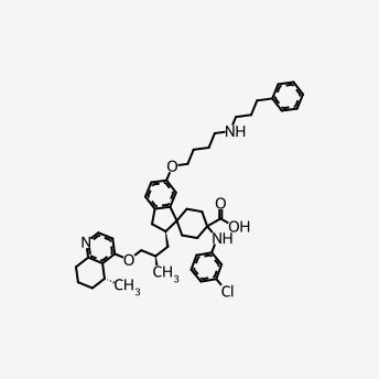 C[C@@H](COc1ccnc2c1[C@H](C)CCC2)C[C@H]1Cc2ccc(OCCCCNCCCc3ccccc3)cc2C12CCC(Nc1cccc(Cl)c1)(C(=O)O)CC2